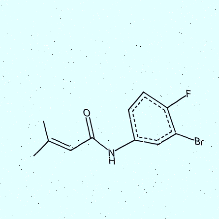 CC(C)=CC(=O)Nc1ccc(F)c(Br)c1